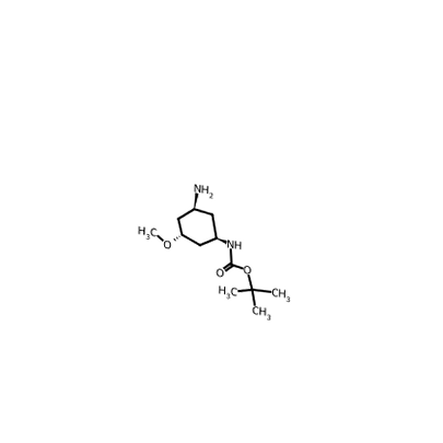 CO[C@@H]1C[C@@H](N)C[C@@H](NC(=O)OC(C)(C)C)C1